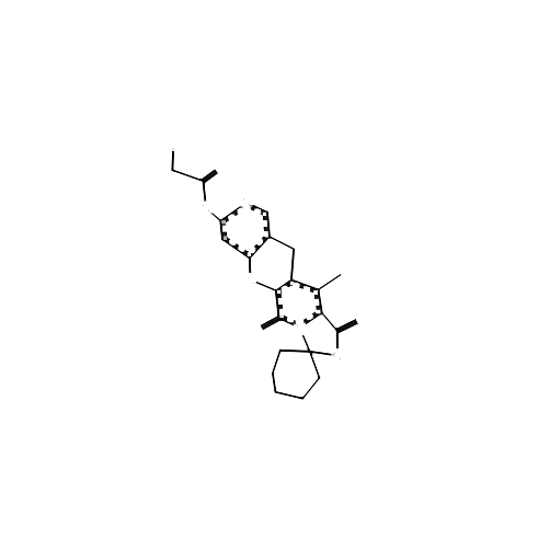 Cc1c2c(c(=O)n3c1C(=O)NC31CCCCC1)Nc1cc(NC(=O)CO)ncc1C2